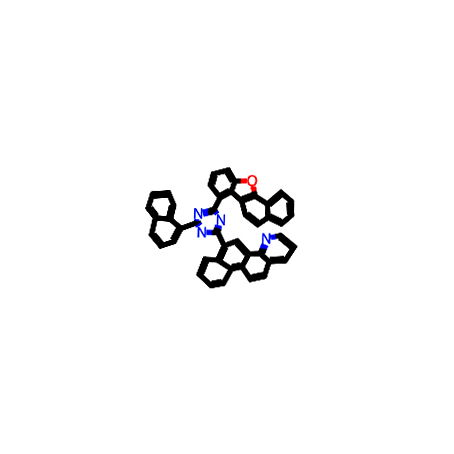 c1ccc2c(-c3nc(-c4cc5c(ccc6cccnc65)c5ccccc45)nc(-c4cccc5oc6c7ccccc7ccc6c45)n3)cccc2c1